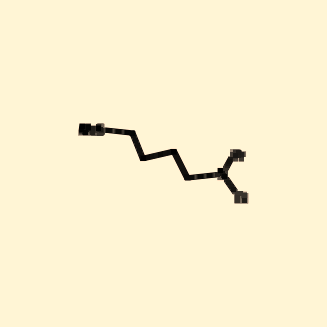 CCN(CCCCSC)C(C)C